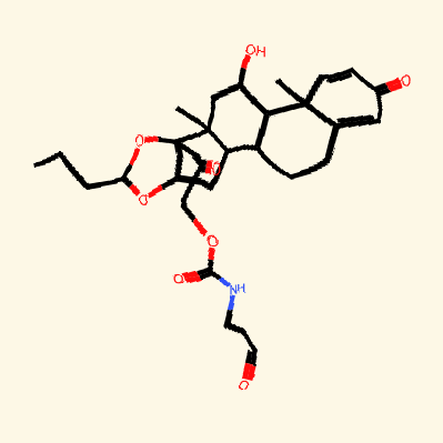 CCCC1OC2CC3C4CCC5=CC(=O)C=CC5(C)C4C(O)CC3(C)C2(C(=O)COC(=O)NCC=O)O1